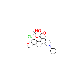 Cc1c(-c2c(C)c3c(c(C)c2[C@H](OC(C)(C)C)C(=O)O)CCN(C2CCCCC2)C3)cc(Cl)c2c1CCCO2